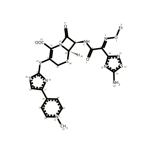 CCON=C(C(=O)N[C@@H]1C(=O)N2C(C(=O)[O-])=C(Sc3nc(-c4cc[n+](C)cc4)cs3)CS[C@H]12)c1nsc(N)n1